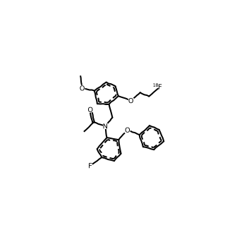 COc1ccc(OCC[18F])c(CN(C(C)=O)c2cc(F)ccc2Oc2ccccc2)c1